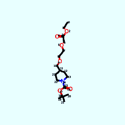 CCOC(=O)COCCOCC1CCN(C(=O)OC(C)(C)C)CC1